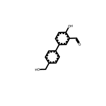 O=Cc1cc(-c2ccc(CO)cc2)ccc1O